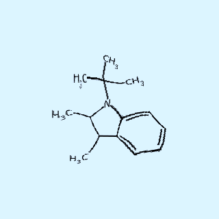 CC1c2ccccc2N(C(C)(C)C)C1C